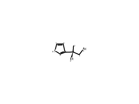 CC[C@@](C)(CC(C)=O)c1ccsc1